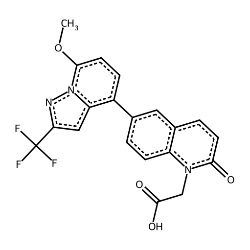 COc1ccc(-c2ccc3c(ccc(=O)n3CC(=O)O)c2)c2cc(C(F)(F)F)nn12